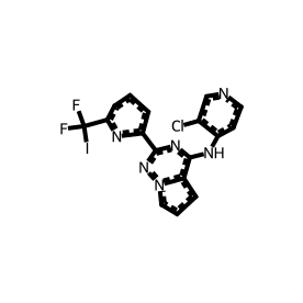 FC(F)(I)c1cccc(-c2nc(Nc3ccncc3Cl)c3cccn3n2)n1